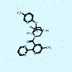 Cc1cnc(-c2ncccn2)c(C(=O)N2C[C@@H]3CC[C@H]2[C@H](Oc2ccc(C(F)(F)F)cn2)C3)c1